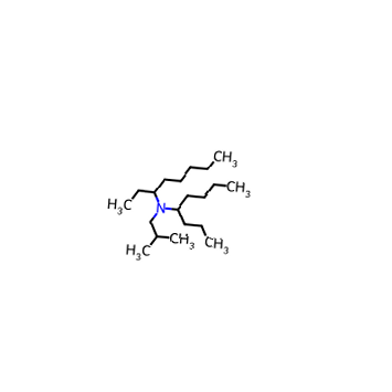 CCCCCC(CC)N(CC(C)C)C(CCC)CCCC